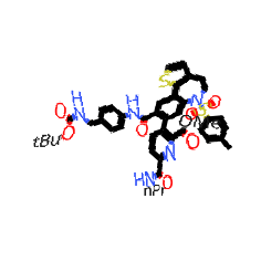 CCCNC(=O)c1ccc(-c2cc3c(cc2C(=O)Nc2ccc(CNC(=O)OC(C)(C)C)cc2)-c2sccc2CCN3S(=O)(=O)c2ccc(C)cc2)c(C(=O)OC)n1